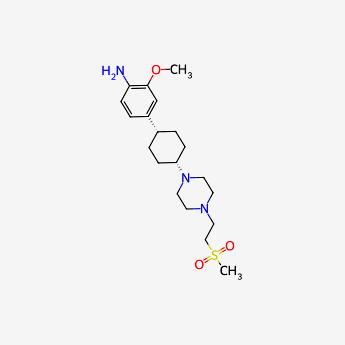 COc1cc([C@H]2CC[C@@H](N3CCN(CCS(C)(=O)=O)CC3)CC2)ccc1N